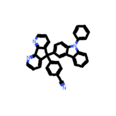 N#Cc1ccc(C2(c3ccc4c(c3)c3ccccc3n4-c3ccccc3)c3cccnc3-c3ncccc32)cc1